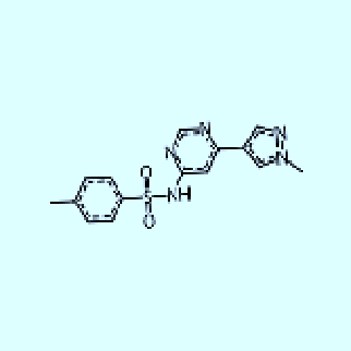 Cc1ccc(S(=O)(=O)Nc2cc(-c3cnn(C)c3)ncn2)cc1